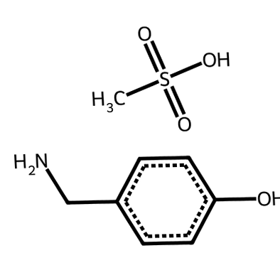 CS(=O)(=O)O.NCc1ccc(O)cc1